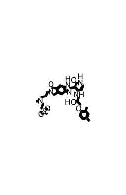 Cc1ccc(OC[C@H](O)CNc2cc[nH]c(=O)c2-c2nc3cc4c(cc3[nH]2)C(=O)N(CCCN(C)CCS(C)(=O)=O)C4)c(C)c1